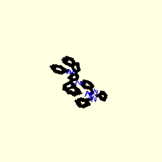 c1ccc(-c2nc(-c3ccccc3)nc(-c3cccc(-n4c5cc6c7ccc8ccccc8c7n(-c7ccccc7)c6cc5c5ccc6ccccc6c54)c3)n2)cc1